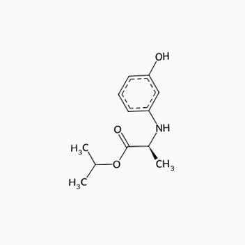 CC(C)OC(=O)[C@H](C)Nc1cccc(O)c1